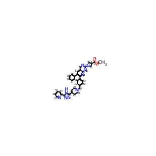 COC(=O)C1CN(c2ncc3cc(-c4ccccc4)c(-c4ccc(CN5CCC(c6nnc(-c7ccccn7)[nH]6)CC5)cc4)nc3n2)C1